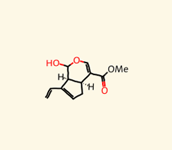 C=CC1=CC[C@@H]2C(C(=O)OC)=COC(O)[C@H]12